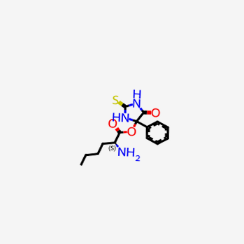 CCCC[C@H](N)C(=O)OC1(c2ccccc2)NC(=S)NC1=O